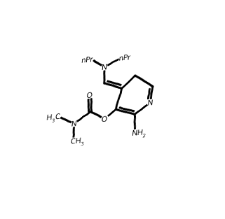 CCCN(C=C1CC=NC(N)=C1OC(=O)N(C)C)CCC